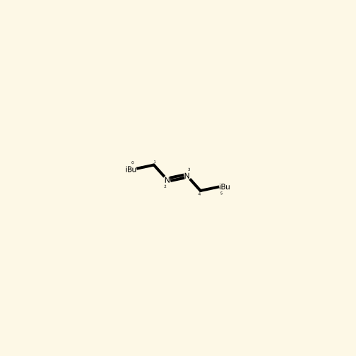 CCC(C)CN=NCC(C)CC